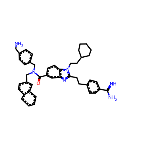 N=C(N)c1ccc(CCc2nc3cc(C(=O)N(Cc4ccc(CN)cc4)Cc4ccc5ccccc5c4)ccc3n2CCC2CCCCC2)cc1